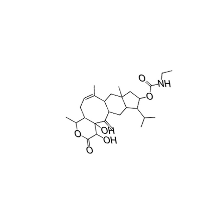 C=C1C2CC3C(C(C)C)C(OC(=O)NCC)CC3(C)CC2C(C)=CCC2C(C)OC(=O)C(O)C12O